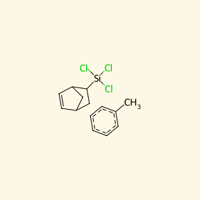 Cc1ccccc1.Cl[Si](Cl)(Cl)C1CC2C=CC1C2